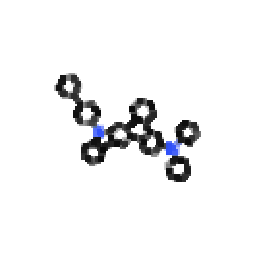 c1ccc(-c2ccc(-n3c4ccccc4c4cc5c6ccc(N(c7ccccc7)c7ccccc7)cc6c6ccccc6c5cc43)cc2)cc1